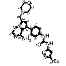 CC(C)(C)c1cc(NC(=O)Nc2ccc(-c3cc(CN4CCOCC4)n4ncnc(N)c34)cc2)on1